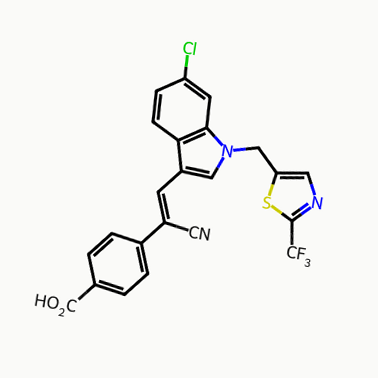 N#C/C(=C\c1cn(Cc2cnc(C(F)(F)F)s2)c2cc(Cl)ccc12)c1ccc(C(=O)O)cc1